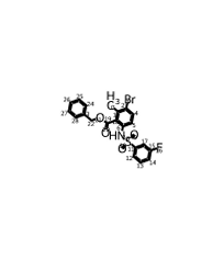 Cc1c(Br)ccc(NS(=O)(=O)c2cccc(F)c2)c1C(=O)OCc1ccccc1